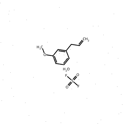 C=CCc1cccc(OC)c1.O.O=S(=O)(F)F